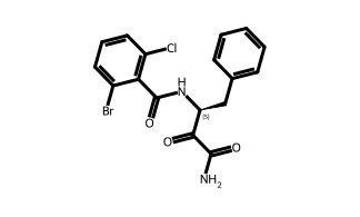 NC(=O)C(=O)[C@H](Cc1ccccc1)NC(=O)c1c(Cl)cccc1Br